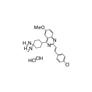 COc1ccc2nc(C=Cc3ccc(Cl)cc3)nc(C3CCC(N)(N)CC3)c2c1.Cl.Cl